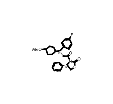 COC1CCC([C@@H](CC(=O)N2C(=O)OC[C@@H]2c2ccccc2)c2ccc(F)cc2)CC1